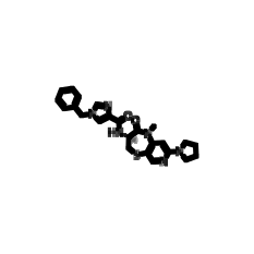 CN1C(=O)[C@@H](NC(=O)c2cn(Cc3ccccc3)cn2)CSc2cnc(N3CCCC3)cc21